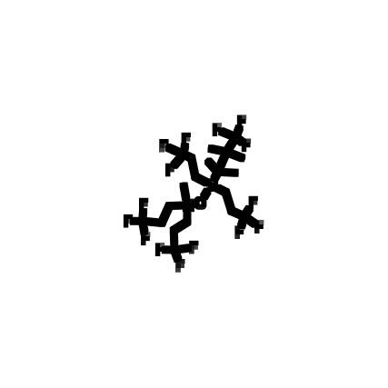 CC(C)(C(F)(F)F)C(C)(C)[Si](CCC(F)(F)F)(CCC(F)(F)F)O[Si](C)(CCC(F)(F)F)CCC(F)(F)F